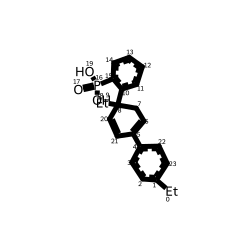 CCc1ccc(C2=CCC(CC)(c3ccccc3P(=O)(O)O)C=C2)cc1